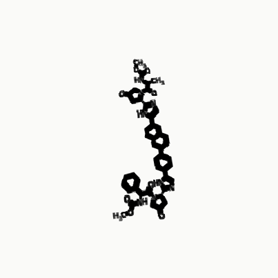 COC(=O)N[C@@H](C)C(=O)N1CC(=O)C[C@H]1c1ncc(-c2ccc3cc(-c4ccc(-c5cnc([C@@H]6CC(=O)CN6C(=O)[C@H](NC(=O)OC)c6ccccc6)[nH]5)cc4)ccc3c2)[nH]1